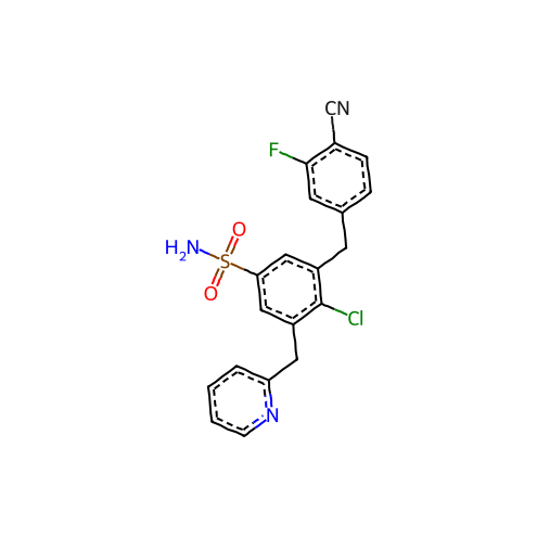 N#Cc1ccc(Cc2cc(S(N)(=O)=O)cc(Cc3ccccn3)c2Cl)cc1F